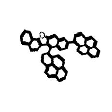 c1ccc2c(c1)ccc1c2oc2cc3cc(-c4ccc5ccc6cccc7ccc4c5c67)ccc3c(-c3ccc4ccc5cccc6ccc3c4c56)c21